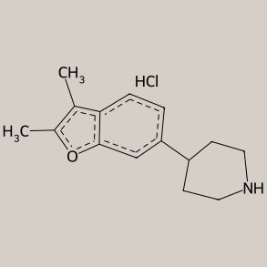 Cc1oc2cc(C3CCNCC3)ccc2c1C.Cl